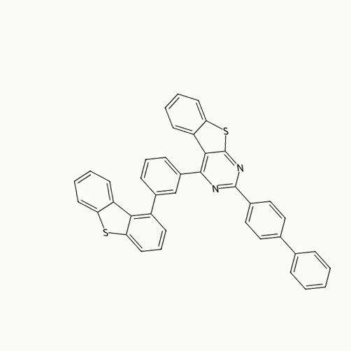 c1ccc(-c2ccc(-c3nc(-c4cccc(-c5cccc6sc7ccccc7c56)c4)c4c(n3)sc3ccccc34)cc2)cc1